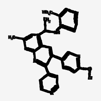 CCOc1ccc(-c2cc3c(C(C)Nc4ccccc4C(=O)O)cc(C)cc3nc2-c2ccncc2)cn1